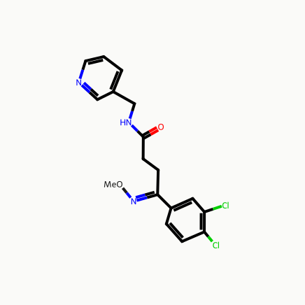 CON=C(CCC(=O)NCc1cccnc1)c1ccc(Cl)c(Cl)c1